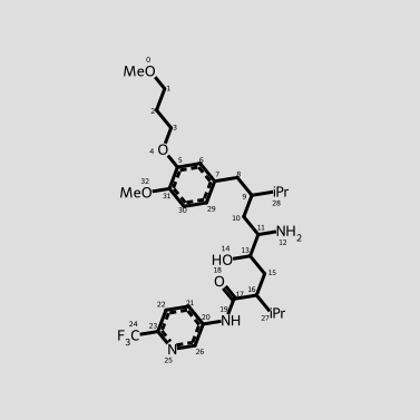 COCCCOc1cc(CC(CC(N)C(O)CC(C(=O)Nc2ccc(C(F)(F)F)nc2)C(C)C)C(C)C)ccc1OC